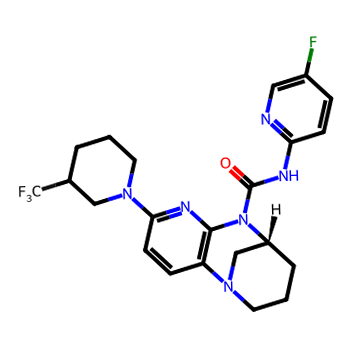 O=C(Nc1ccc(F)cn1)N1c2nc(N3CCCC(C(F)(F)F)C3)ccc2N2CCC[C@@H]1C2